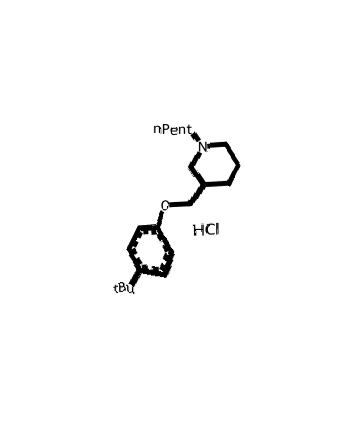 CCCCCN1CCCC(COc2ccc(C(C)(C)C)cc2)C1.Cl